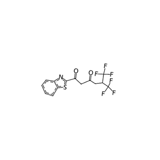 O=C(CC(=O)c1nc2ccccc2s1)CC(C(F)(F)F)C(F)(F)F